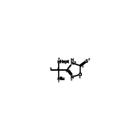 CCCCCCCC(C)(CCCC)c1noc(=S)[nH]1